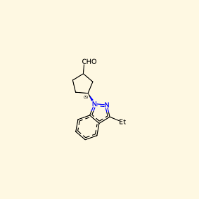 CCc1nn([C@H]2CCC(C=O)C2)c2ccccc12